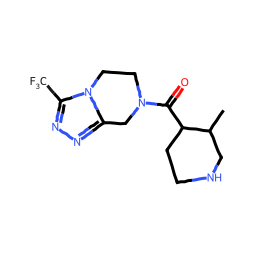 CC1CNCCC1C(=O)N1CCn2c(nnc2C(F)(F)F)C1